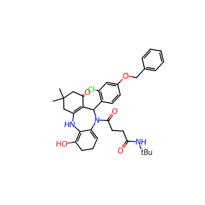 CC1(C)CC(=O)C2=C(C1)NC1=C(O)CCC=C1N(C(=O)CCC(=O)NC(C)(C)C)C2c1ccc(OCc2ccccc2)cc1Cl